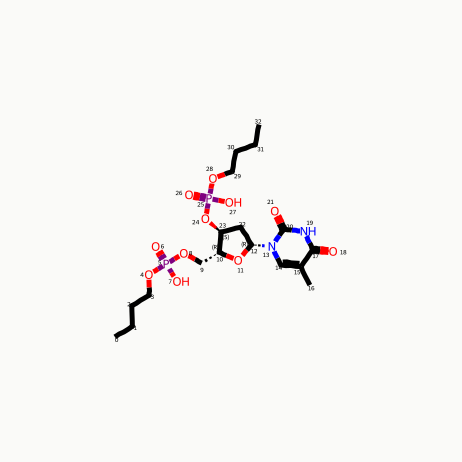 CCCCOP(=O)(O)OC[C@H]1O[C@@H](n2cc(C)c(=O)[nH]c2=O)C[C@@H]1OP(=O)(O)OCCCC